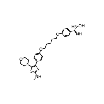 CNc1nc(-c2ccc(OCCCCCOc3ccc(C(=N)NO)cc3)cc2)c(N2CCOCC2)s1